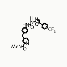 CNC(=O)c1cc(Cc2ccc(NC(=O)Nc3ncc(-c4ccc(C(F)(F)F)cc4)o3)cc2)ccn1